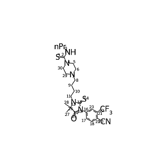 CCCNC(=S)N1CCN(CCCCN2C(=S)N(c3ccc(C#N)c(C(F)(F)F)c3)C(=O)C2(C)C)CC1